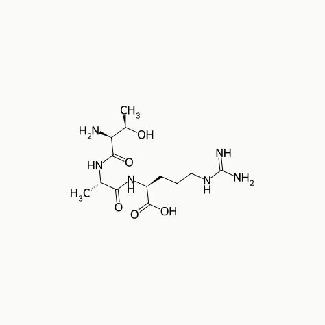 C[C@H](NC(=O)[C@@H](N)[C@@H](C)O)C(=O)N[C@@H](CCCNC(=N)N)C(=O)O